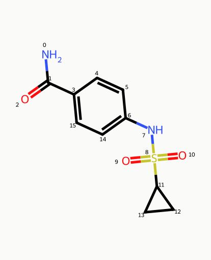 NC(=O)c1ccc(NS(=O)(=O)C2CC2)cc1